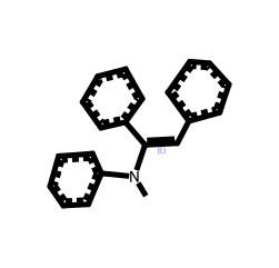 CN(/C(=C/c1ccccc1)c1ccccc1)c1ccccc1